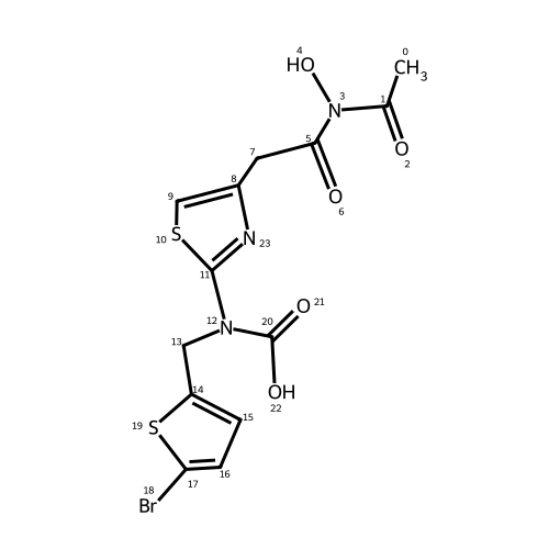 CC(=O)N(O)C(=O)Cc1csc(N(Cc2ccc(Br)s2)C(=O)O)n1